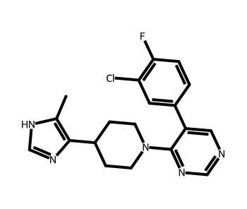 Cc1[nH]cnc1C1CCN(c2ncncc2-c2ccc(F)c(Cl)c2)CC1